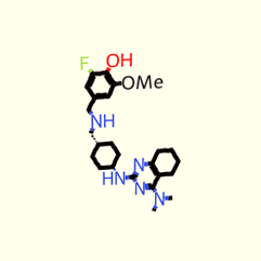 COc1cc(CNC[C@H]2CC[C@@H](Nc3nc4c(c(N(C)C)n3)CCCC4)CC2)cc(F)c1O